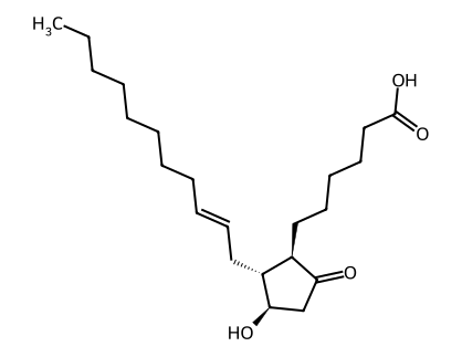 CCCCCCCCC=CC[C@H]1[C@H](O)CC(=O)[C@@H]1CCCCCC(=O)O